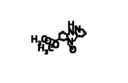 COCC(OC)c1ccc2c(c1)N(C=O)Cc1cccnc1N2